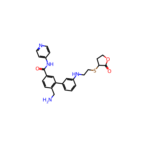 NCc1ccc(C(=O)Nc2ccncc2)cc1-c1cccc(NCCSC2CCOC2=O)c1